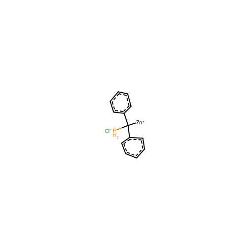 P[C]([Zn+])(c1ccccc1)c1ccccc1.[Cl-]